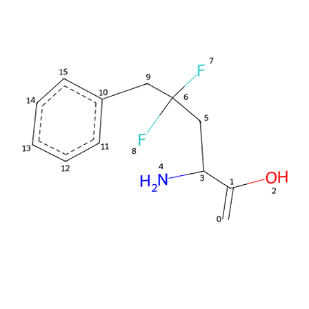 C=C(O)C(N)CC(F)(F)Cc1ccccc1